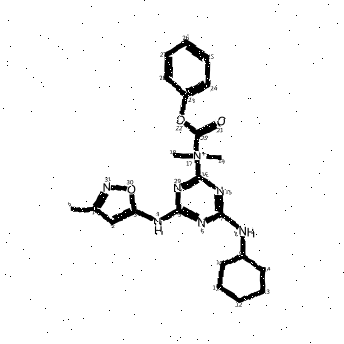 Cc1cc(Nc2nc(NC3CCCCC3)nc([N+](C)(C)C(=O)Oc3cc[c]cc3)n2)on1